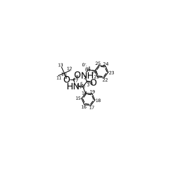 C[C@@H](NC(=O)[C@H](NC(=O)OC(C)(C)C)c1ccccc1)c1ccccc1